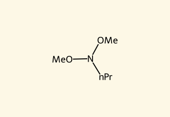 [CH2]CCN(OC)OC